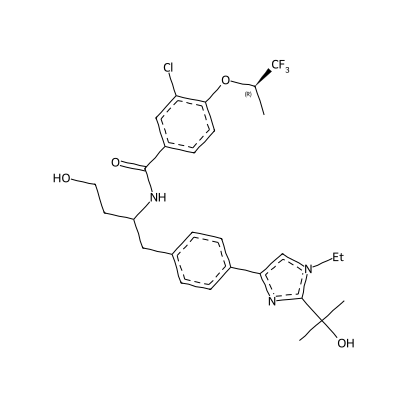 CCn1cc(-c2ccc(CC(CCO)NC(=O)c3ccc(O[C@H](C)C(F)(F)F)c(Cl)c3)cc2)nc1C(C)(C)O